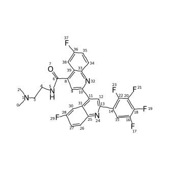 CN(C)CCNC(=O)c1cc(-c2cc(-c3cc(F)c(F)c(F)c3F)nc3ccc(F)cc23)nc2ccc(F)cc12